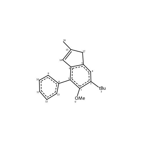 COc1c(C(C)(C)C)cc2c(c1-c1ccccc1)C=C(C)[CH]2